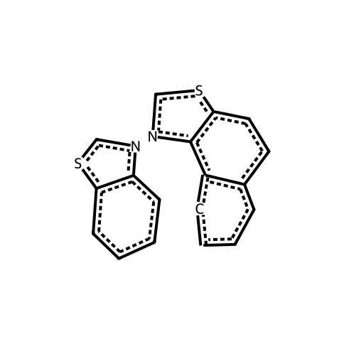 c1ccc2c(c1)ccc1scnc12.c1ccc2scnc2c1